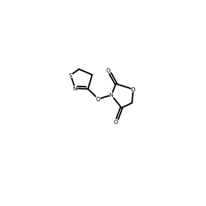 O=C1COC(=O)N1OC1=NSCC1